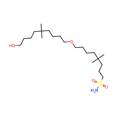 CC(C)(CCCCO)CCCCOCCCCC(C)(C)CCCS(N)(=O)=O